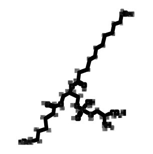 CCCCCCCCCCCCCCCCCCCCC(=O)O[C@H](COC(=O)CCCCCCCCCCCCCCC)COP(=O)(O)OC[C@H](N)C(=O)O